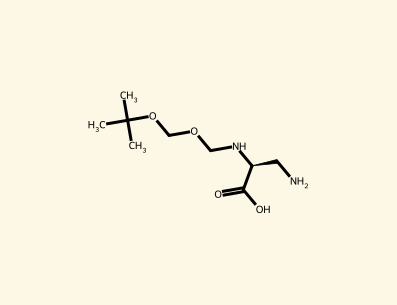 CC(C)(C)OCOCN[C@@H](CN)C(=O)O